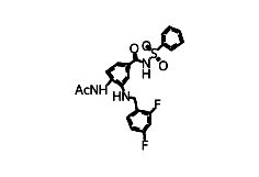 CC(=O)Nc1ccc(C(=O)NS(=O)(=O)c2ccccc2)cc1NCc1ccc(F)cc1F